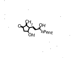 C=C1C(=O)CC(O)C1C=C[C@@H](O)CCCCC